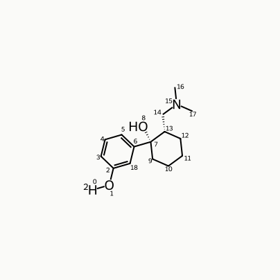 [2H]Oc1cccc([C@]2(O)CCCC[C@H]2CN(C)C)c1